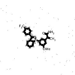 C=C(C(N)=O)c1cc(OC)cc(-n2nc(-c3ccc(C(F)(F)F)cc3)c3ccccc32)c1